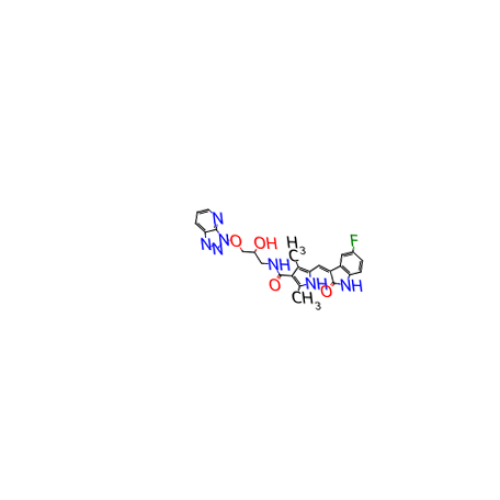 Cc1[nH]c(C=C2C(=O)Nc3ccc(F)cc32)c(C)c1C(=O)NCC(O)COn1nnc2cccnc21